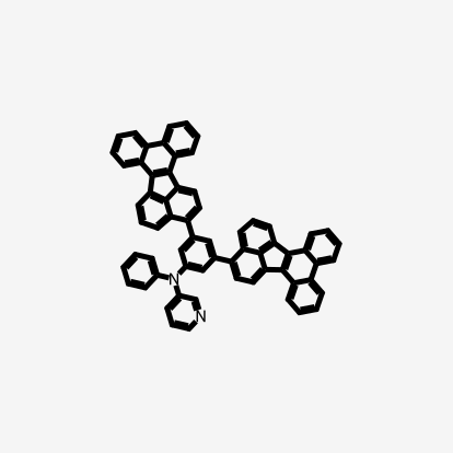 c1ccc(N(c2cccnc2)c2cc(-c3ccc4c5c(cccc35)-c3c-4c4ccccc4c4ccccc34)cc(-c3ccc4c5c(cccc35)-c3c-4c4ccccc4c4ccccc34)c2)cc1